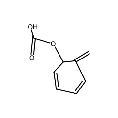 C=C1C=CC=CC1OC(=O)O